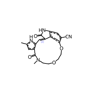 Cc1cc2c([nH]1)/C=C1\C(=O)Nc3cc(C#N)c(cc31)OCCOCCN(C)C2=O